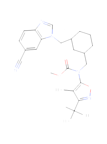 COC(=O)N(CC1CCC[C@](C)(Cn2cnc3ccc(C#N)cc32)C1)c1onc(C(C)(C)C)c1C